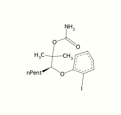 CCCCC[C@H](Oc1ccccc1I)C(C)(C)OC(N)=O